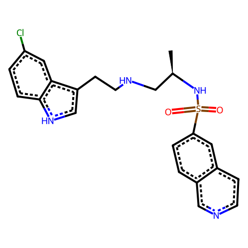 C[C@H](CNCCc1c[nH]c2ccc(Cl)cc12)NS(=O)(=O)c1ccc2cnccc2c1